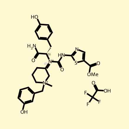 COC(=O)c1cnc(NC(=O)/[N+](=C2/CCC[N+](C)(Cc3cccc(O)c3)C2)[C@@H](Cc2ccc(O)cc2)C(N)=O)s1.O=C(O)C(F)(F)F